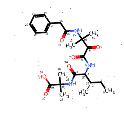 CC[C@H](C)[C@H](NC(=O)C(=O)C(C)(C)NC(=O)Cc1ccccc1)C(=O)NC(C)(C)C(=O)O